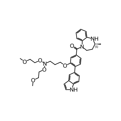 COCCON(CCCOc1cc(C(=O)N2CC[C@H](C)Nc3ccccc32)ccc1-c1ccc2[nH]ccc2c1)OCCOC